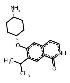 CC(C)c1cc2c(=O)[nH]ccc2cc1O[C@H]1CC[C@@H](N)CC1